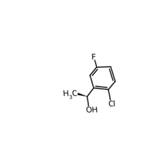 C[C@H](O)c1cc(F)ccc1Cl